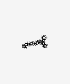 CC(C)(c1ccc(-c2ccc3ccccc3c2)cc1)c1ccc(-c2nc(-c3ccccc3)nc(-c3ccccc3)n2)cc1